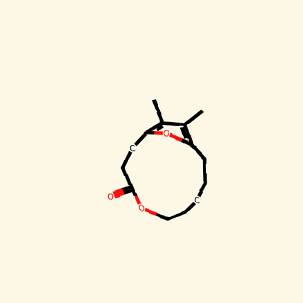 Cc1c2oc(c1C)CCC(=O)OCCCCC2